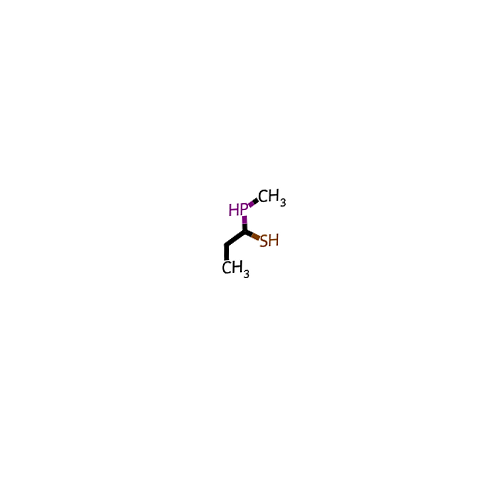 CCC(S)PC